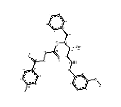 COc1cccc(CNC[C@@H](O)[C@H](Cc2ccccc2)NC(=O)CCC(=O)c2ccc(F)cc2)c1